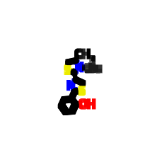 C[C@@H]1CSC([C@H]2CSC(c3ccccc3O)=N2)N1C(C)(C)C